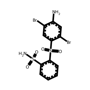 Nc1cc(Br)c(S(=O)(=O)c2ccccc2S(N)(=O)=O)cc1Br